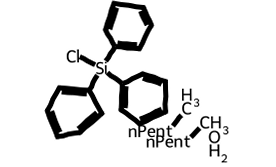 CCCCCC.CCCCCC.Cl[Si](c1ccccc1)(c1ccccc1)c1ccccc1.O